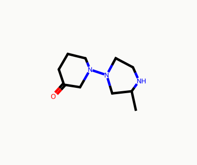 CC1CN(N2CCCC(=O)C2)CCN1